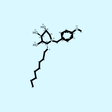 CCCCCCCCC[C@@H]1C(O)[C@@H](O)[C@H](O)CN1Cc1ccc(OC)cc1